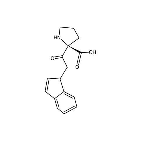 O=C(O)[C@]1(C(=O)CC2C=Cc3ccccc32)CCCN1